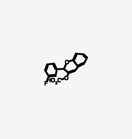 O=C(O)OC1=Cc2ccccc2OC1c1cccc(F)c1